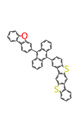 c1ccc2c(c1)oc1cc(-c3c4ccccc4c(-c4ccc5sc6cc7c(cc6c5c4)sc4ccccc47)c4ccccc34)ccc12